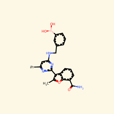 Cc1oc2c(C(N)=O)cccc2c1-c1nc(NCc2cccc(B(O)O)c2)cc(C(C)C)n1